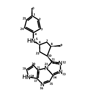 Cc1ccc(N[C@H]2C[C@@H](C)[C@@H](c3nnc4cnc5[nH]ccc5n34)C2)cc1